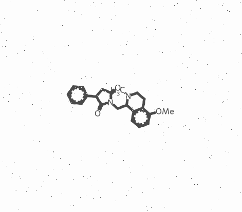 COc1cccc2c1CCN(C)C2CN1C(=O)CC(c2ccccc2)C1=O